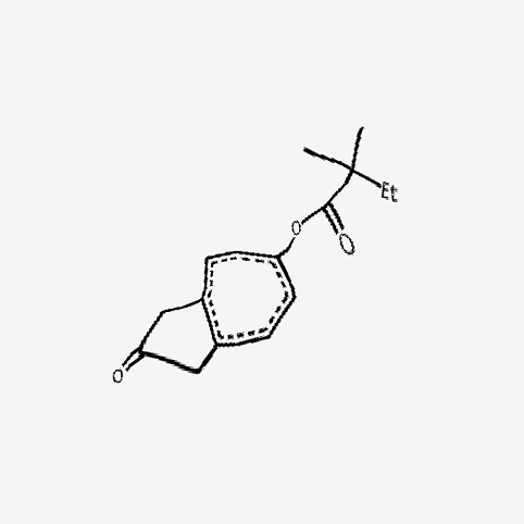 CCC(C)(C)C(=O)Oc1ccc2c(c1)CC(=O)C2